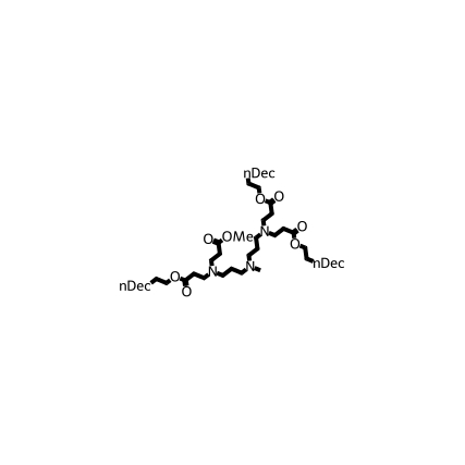 CCCCCCCCCCCCOC(=O)CCN(CCCN(C)CCCN(CCC(=O)OCCCCCCCCCCCC)CCC(=O)OCCCCCCCCCCCC)CCC(=O)OC